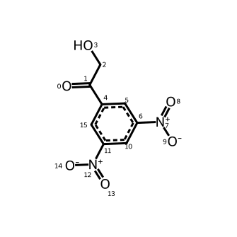 O=C(CO)c1cc([N+](=O)[O-])cc([N+](=O)[O-])c1